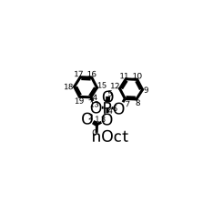 CCCCCCCCC(=O)OP(=O)(Oc1ccccc1)Oc1ccccc1